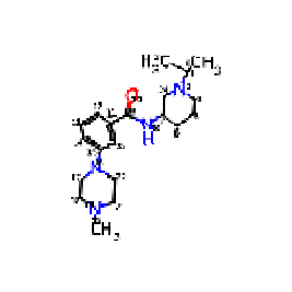 CC(C)N1CCC[C@@H](NC(=O)c2cccc(N3CCN(C)CC3)c2)C1